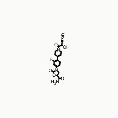 NC(=O)C1CN(c2ccc(C3=CCN(C(=O)[C@H](O)C#P=O)CC3)c(F)c2)C(=O)O1